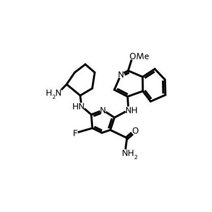 COc1ncc(Nc2nc(NC3CCCCC3N)c(F)cc2C(N)=O)c2ccccc12